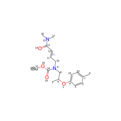 Cc1ccc(OC(C)CN(C/C=C/C(=O)N(C)C)C(=O)OC(C)(C)C)cc1